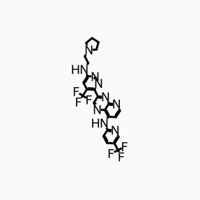 FC(F)(F)c1ccc(Nc2ccnc3nc(-c4nnc(NCCN5CCCC5)cc4C(F)(F)F)cnc23)nc1